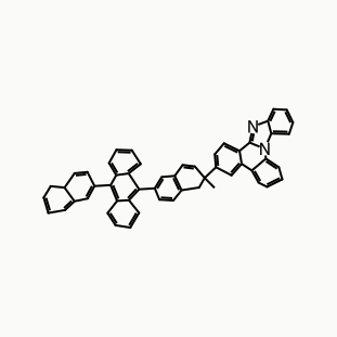 CC1(c2ccc3c(c2)c2ccccc2n2c4ccccc4nc32)C=Cc2cc(-c3c4ccccc4c(C4=CC5=CC=CCC5C=C4)c4ccccc34)ccc2C1